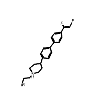 CC(C)CC[SiH]1CCC(c2ccc(-c3ccc(C(F)=CF)cc3)cc2)CC1